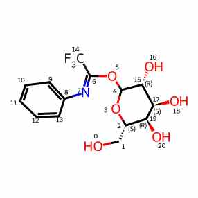 OC[C@@H]1OC(OC(=Nc2ccccc2)C(F)(F)F)[C@H](O)[C@@H](O)[C@H]1O